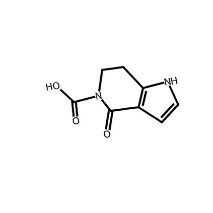 O=C(O)N1CCc2[nH]ccc2C1=O